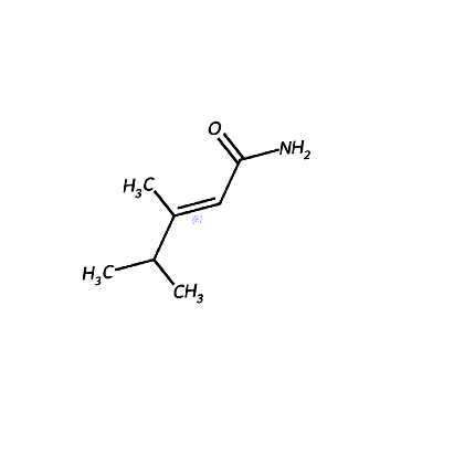 C/C(=C\C(N)=O)C(C)C